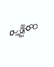 O=C(NO)[C@H](CCc1ccccc1)NS(=O)(=O)c1ccc2c(c1)CC1=C2CCCC1